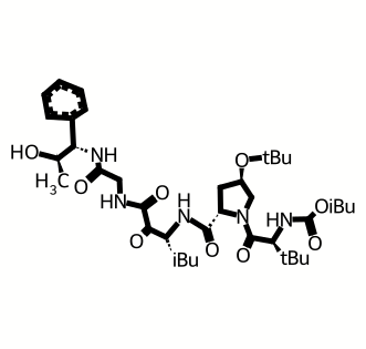 CC[C@@H](C)C(NC(=O)[C@@H]1C[C@@H](OC(C)(C)C)CN1C(=O)[C@@H](NC(=O)OCC(C)C)C(C)(C)C)C(=O)C(=O)NCC(=O)N[C@@H](c1ccccc1)[C@@H](C)O